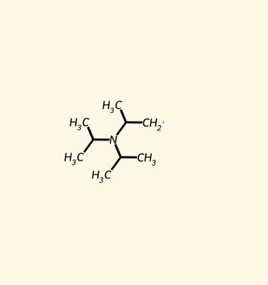 [CH2]C(C)N(C(C)C)C(C)C